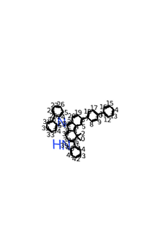 CC1(C)C2=c3cc(-c4ccc(-c5ccccc5)cc4)ccc3=C(n3c4ccccc4c4ccccc43)C2=Cc2[nH]c3ccccc3c21